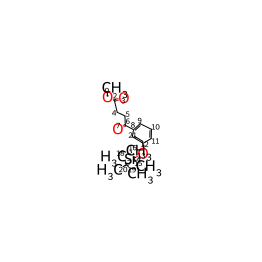 COC(=O)CCC(=O)c1cccc(O[Si](C)(C)C(C)(C)C)c1